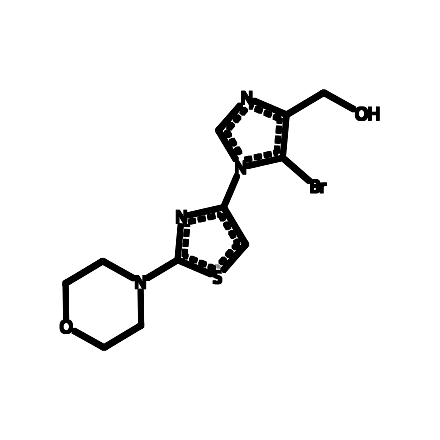 OCc1ncn(-c2csc(N3CCOCC3)n2)c1Br